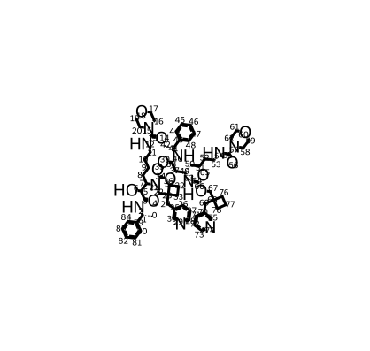 C[C@@H](NC(=O)C(O)C(CCCCNC(=O)N1CCOCC1)N(CC1(Cc2cccnc2)CCC1)C(=O)OC(C(=O)N[C@H](C)c1ccccc1)[C@H](CCCCNC(=O)N1CCOCC1)NC(=O)OCC1(Cc2cccnc2)CCC1)c1ccccc1